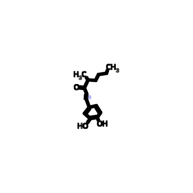 CCCCC(C)C(=O)/C=C/c1ccc(O)c(O)c1